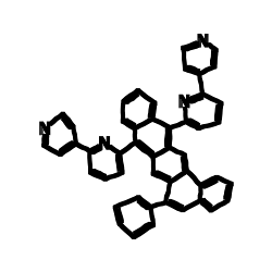 c1ccc(-c2cc3ccccc3c3cc4c(-c5cccc(-c6ccncc6)n5)c5ccccc5c(-c5cccc(-c6ccncc6)n5)c4cc23)cc1